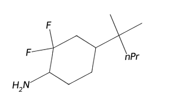 CCCC(C)(C)C1CCC(N)C(F)(F)C1